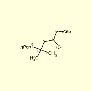 CCCCCC(C)(C)CC([O])CC(C)(C)C